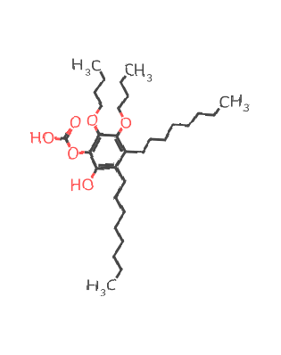 CCCCCCCCc1c(O)c(OC(=O)O)c(OCCCC)c(OCCCC)c1CCCCCCCC